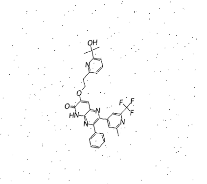 Cc1cc(-c2nc3cc(OCCc4cccc(C(C)(C)O)n4)c(=O)[nH]c3nc2-c2ccccc2)cc(C(F)(F)F)n1